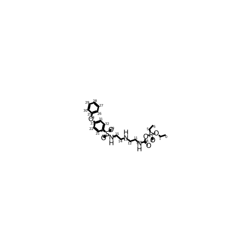 CCOP(=O)(CC)OC(=O)NCCNCCNS(=O)(=O)c1ccc(Oc2ccccc2)cc1